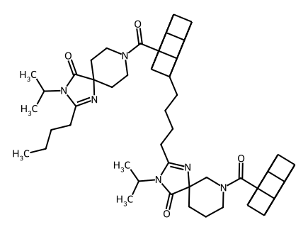 CCCCC1=NC2(CCN(C(=O)C34C5C6C7C5C3C7(CCCCC3=NC5(CCCN(C(=O)C78C9C%10C%11C9C7C%11C%108)C5)C(=O)N3C(C)C)C64)CC2)C(=O)N1C(C)C